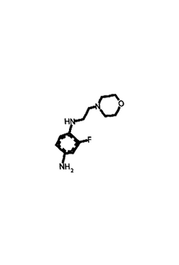 Nc1ccc(NCCN2CCOCC2)c(F)c1